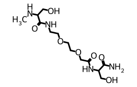 CNC(CO)C(=O)NCCOCCOCC(=O)NC(CO)C(N)=O